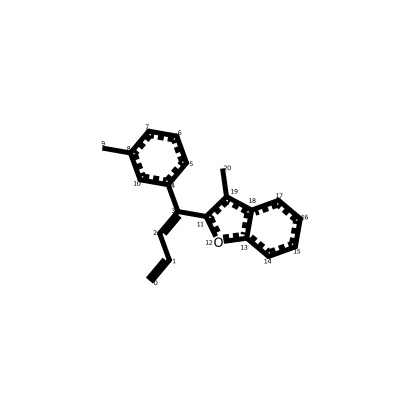 C=C/C=C(/c1cccc(C)c1)c1oc2ccccc2c1C